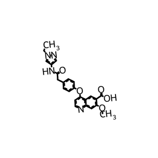 CCn1cc(NC(=O)Cc2ccc(Oc3ccnc4cc(OC)c(C(=O)O)cc34)cc2)cn1